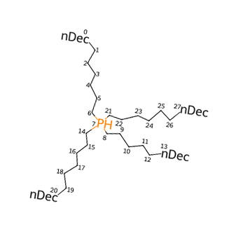 CCCCCCCCCCCCCCCC[PH](CCCCCCCCCCCCCCC)(CCCCCCCCCCCCCCCC)CCCCCCCCCCCCCCCC